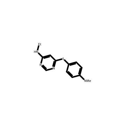 CCNc1cc(Sc2ccc(NC)cc2)ncn1